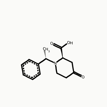 C[C@@H](c1ccccc1)N1CCC(=O)C[C@@H]1C(=O)O